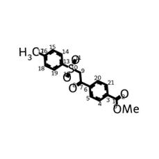 COC(=O)c1ccc(C(=O)CS(=O)(=O)c2ccc(C)cc2)cc1